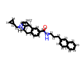 C[C@@H]1[C@H]2Cc3ccc(C(=O)NCCCc4ccc5ccccc5c4)cc3[C@]1(C)CCN2CC1CC1